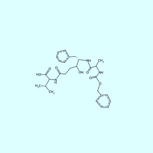 CC(NC(=O)OCc1ccccc1)C(=O)N[C@@H](Cc1ccccc1)C(O)CCC(=O)NC(C(=O)O)C(C)C